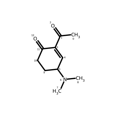 CC(=O)C1=CC(N(C)C)CCC1=O